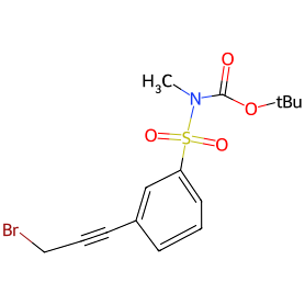 CN(C(=O)OC(C)(C)C)S(=O)(=O)c1cccc(C#CCBr)c1